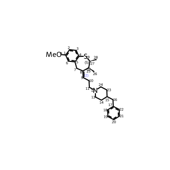 COc1ccc2c(c1)C/C(=C/CCN1CCC(Cc3ccccc3)CC1)[C@H](C)[C@H](C)S2